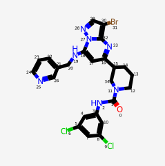 O=C(Nc1cc(Cl)cc(Cl)c1)N1CCCC(c2cc(NCc3cccnc3)n3ncc(Br)c3n2)C1